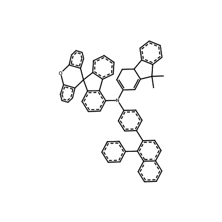 CC1(C)C2=CC(N(c3ccc(-c4ccc5ccccc5c4-c4ccccc4)cc3)c3cccc4c3-c3ccccc3C43c4ccccc4Oc4ccccc43)=CCC2c2ccccc21